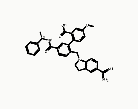 COc1ccc(-c2cc(C(=O)N[C@H](C)c3ccccc3)ccc2CN2CCc3cc(C(=N)N)ccc32)c(C(=O)O)c1